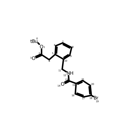 CC(C)(C)OC(=O)Cc1ccccc1CNC(=O)c1ccc(Br)cc1